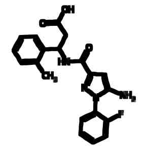 Cc1ccccc1C(CC(=O)O)NC(=O)c1cc(N)n(-c2ccccc2F)n1